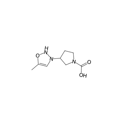 CC1=CN(C2CCN(C(=O)O)C2)NO1